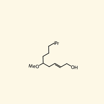 COC(CC=CCO)CCCC(C)C